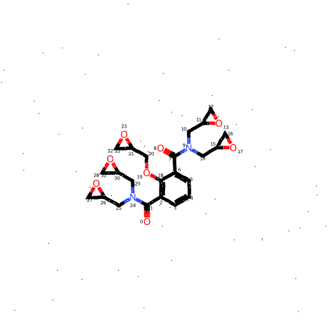 O=C(c1cccc(C(=O)N(CC2CO2)CC2CO2)c1OCC1CO1)N(CC1CO1)CC1CO1